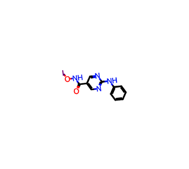 O=C(NOI)c1cnc(Nc2ccccc2)nc1